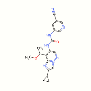 COC(C)c1c(NC(=O)Nc2cncc(C#N)c2)cnn2cc(C3CC3)nc12